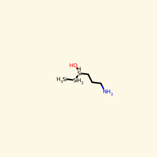 NCCC[SiH](O)[SiH2][SiH3]